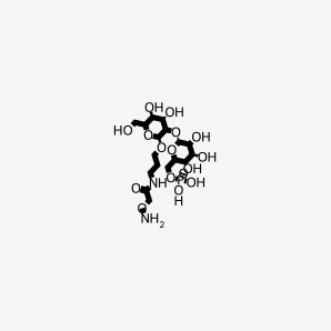 NOCC(=O)NCCCO[C@H]1OC(CO)[C@@H](O)[C@H](O)C1O[C@H]1OC(COP(=O)(O)O)[C@@H](O)[C@H](O)C1O